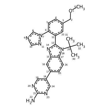 COCc1ccc(-n2cncn2)c(-c2nc3cc(-c4cnc(N)nc4)ccc3n2C(C)(C)C)c1